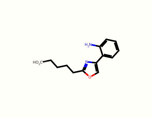 Nc1ccccc1-c1coc(CCCCC(=O)O)n1